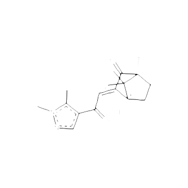 Cn1ncc(C(=O)/C=C2/C(=O)[C@@]3(C)CC[C@@H]2C3(C)C)c1Cl